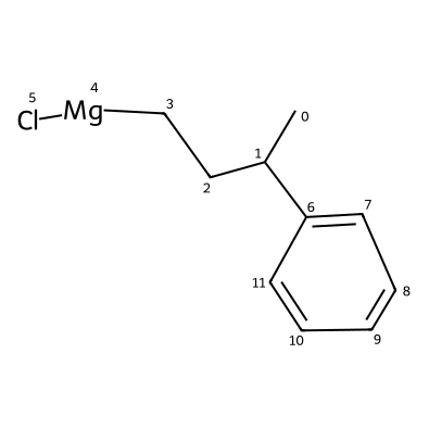 CC(C[CH2][Mg][Cl])c1ccccc1